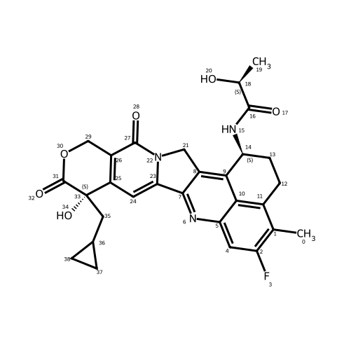 Cc1c(F)cc2nc3c(c4c2c1CC[C@@H]4NC(=O)[C@H](C)O)Cn1c-3cc2c(c1=O)COC(=O)[C@]2(O)CC1CC1